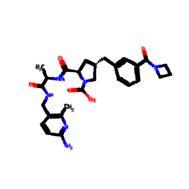 Cc1nc(N)ccc1CNC(=O)C(C)NC(=O)[C@H]1C[C@H](Cc2cccc(C(=O)N3CCC3)c2)CN1C(=O)O